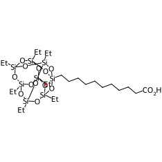 CC[Si]12O[Si]3(CC)O[Si]4(CC)O[Si](CC)(O1)O[Si]1(CC)O[Si](CC)(O2)O[Si](CC)(O3)O[Si](CCCCCCCCCCC(=O)O)(O4)O1